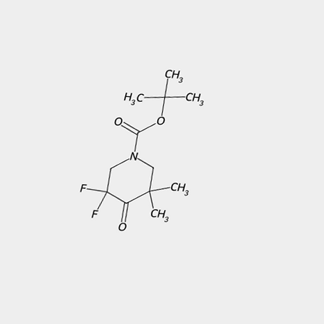 CC(C)(C)OC(=O)N1CC(C)(C)C(=O)C(F)(F)C1